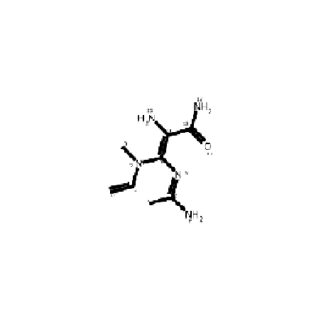 C=CN(C)C(/N=C(\C)N)=C(\N)C(N)=O